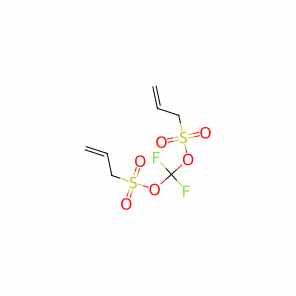 C=CCS(=O)(=O)OC(F)(F)OS(=O)(=O)CC=C